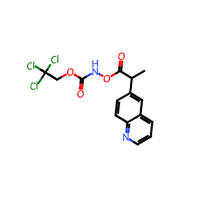 CC(C(=O)ONC(=O)OCC(Cl)(Cl)Cl)c1ccc2ncccc2c1